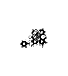 O=C1c2c(OCc3ccccc3)c(=O)ccn2N([C@H]2c3ccc(F)c(F)c3CSc3cccnc32)[C@@H]2COCCN12